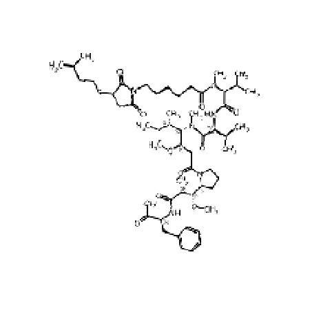 CC[C@H](C)[C@@H]([C@@H](CC(=O)N1CCC[C@H]1[C@H](OC)[C@@H](C)C(=O)N[C@@H](Cc1ccccc1)C(=O)O)OC)N(C)C(=O)[C@@H](NC(=O)C(C(C)C)N(C)C(=O)CCCCCN1C(=O)CC(SCCC(C)C)C1=O)C(C)C